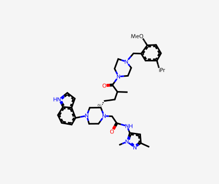 COc1ccc(C(C)C)cc1CN1CCN(C(=O)C(C)CC[C@H]2CN(c3cccc4[nH]ccc34)CCN2CC(=O)Nc2cc(C)nn2C)CC1